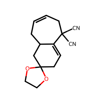 N#CC1(C#N)CC=CCC2CC3(CC=C21)OCCO3